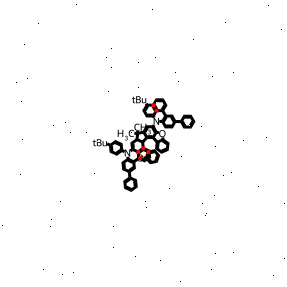 CC(C)(C)c1ccc(N(C2=CC3C(c4c2oc2ccccc42)c2c(cc(N(c4ccc(C(C)(C)C)cc4)c4ccc(-c5ccccc5)cc4-c4ccccc4)c4oc5ccccc5c24)C3(C)C)c2ccc(-c3ccccc3)cc2C2C=CC=CC2)cc1